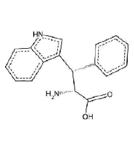 N[C@@H](C(=O)O)[C@@H](c1ccccc1)c1c[nH]c2ccccc12